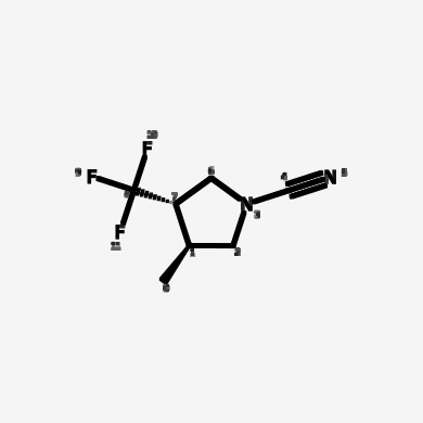 C[C@@H]1CN(C#N)C[C@H]1C(F)(F)F